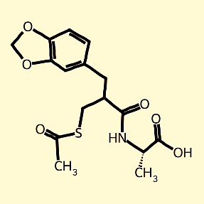 CC(=O)SCC(Cc1ccc2c(c1)OCO2)C(=O)N[C@@H](C)C(=O)O